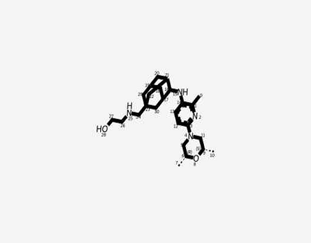 Cc1nc(N2C[C@@H](C)O[C@@H](C)C2)ccc1NC1C2CC3CC1CC(CNCCO)(C3)C2